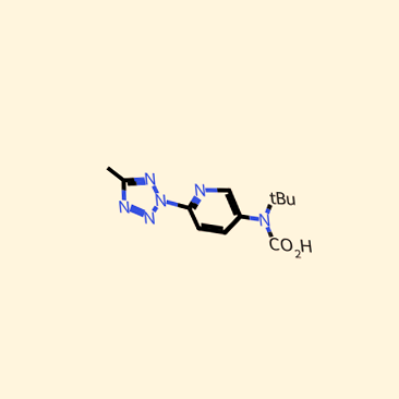 Cc1nnn(-c2ccc(N(C(=O)O)C(C)(C)C)cn2)n1